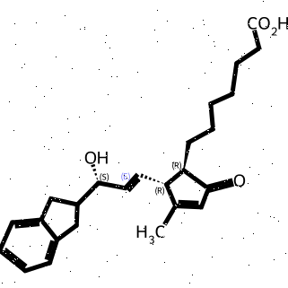 CC1=CC(=O)[C@H](CCCCCCC(=O)O)[C@H]1/C=C/[C@@H](O)C1Cc2ccccc2C1